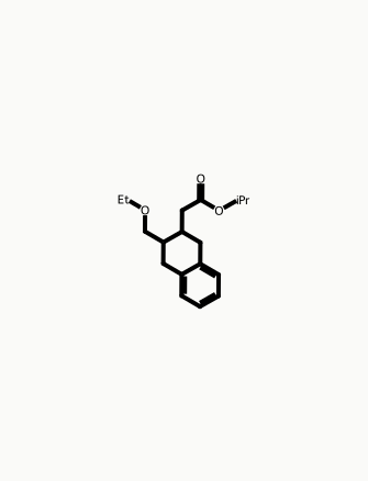 CCOCC1Cc2ccccc2CC1CC(=O)OC(C)C